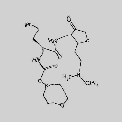 CC(C)CC[C@H](NC(=O)ON1CCOCC1)C(=O)NC1C(=O)COC1CCN(C)C